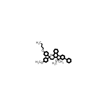 CCCCOc1ccc(C2(c3ccc(OC)cc3)C=Cc3c4c(c5ccccc5c3O2)-c2ccc(-c3ccccc3)cc2C4(C)OC)cc1